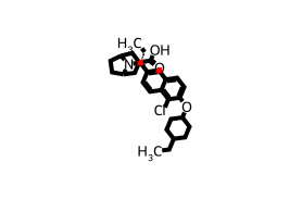 CCC1CCC(Oc2ccc3cc([C@@H](CC)N4C5CCC4CC(C(=O)O)C5)ccc3c2Cl)CC1